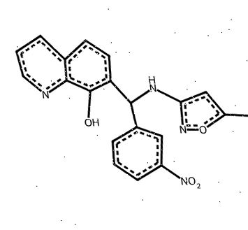 Cc1cc(NC(c2cccc([N+](=O)[O-])c2)c2ccc3cccnc3c2O)no1